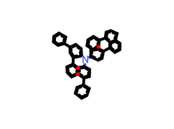 c1ccc(-c2ccc(N(c3ccc(-c4cccc5cccc(-c6ccccc6)c45)cc3)c3ccc(-c4ccccc4)cc3-c3ccccc3)cc2)cc1